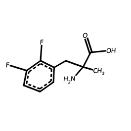 CC(N)(Cc1cccc(F)c1F)C(=O)O